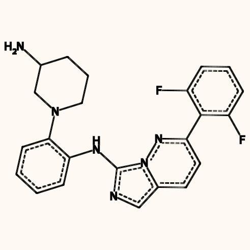 NC1CCCN(c2ccccc2Nc2ncc3ccc(-c4c(F)cccc4F)nn23)C1